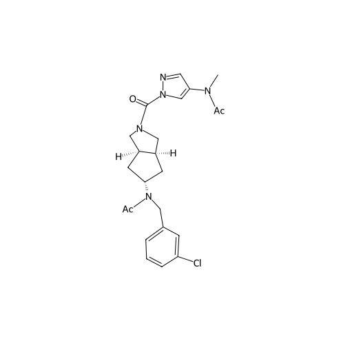 CC(=O)N(C)c1cnn(C(=O)N2C[C@H]3C[C@H](N(Cc4cccc(Cl)c4)C(C)=O)C[C@H]3C2)c1